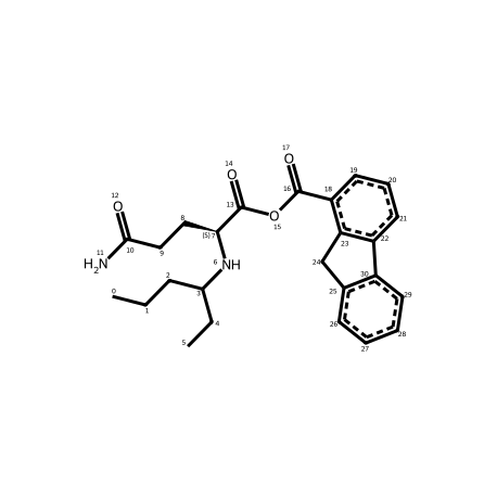 CCCC(CC)N[C@@H](CCC(N)=O)C(=O)OC(=O)c1cccc2c1Cc1ccccc1-2